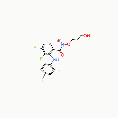 Cc1cc(I)ccc1Nc1c(C(=O)N(Br)OCCCO)ccc(F)c1F